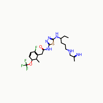 CCC(CCCNCC(C)=N)Nc1nnc(NC(=O)CC2=C(F)C=CC(OC(F)(F)F)C2C)s1